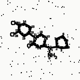 NN(c1ccccc1)c1ncn(-c2ccc(Cl)c(Cl)c2)c(=O)n1